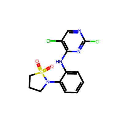 O=S1(=O)CCCN1c1ccccc1Nc1nc(Cl)ncc1Cl